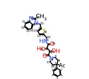 CC(=O)C1(c2ccccc2)CCN(C(=O)[C@H](O)[C@@H](O)C(=O)NCc2ccc(Cn3c(C)nc4ccccc43)s2)CC1